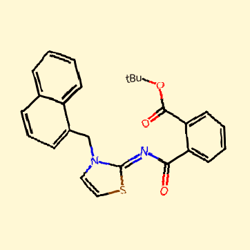 CC(C)(C)OC(=O)c1ccccc1C(=O)/N=c1\sccn1Cc1cccc2ccccc12